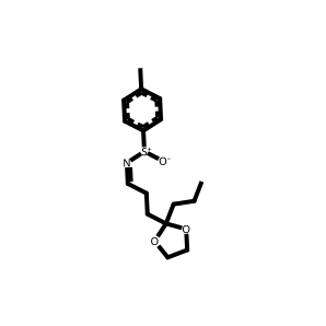 CCCC1(CC/C=N\[S+]([O-])c2ccc(C)cc2)OCCO1